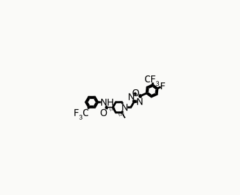 C[C@H]1C[C@@H](C(=O)Nc2cccc(C(F)(F)F)c2)CCN1Cc1noc(-c2ccc(F)c(C(F)(F)F)c2)n1